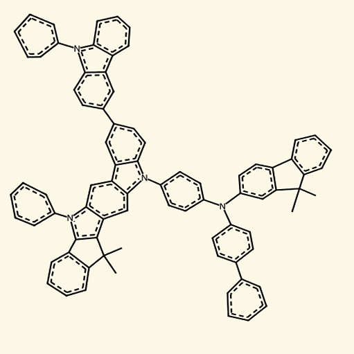 CC1(C)c2ccccc2-c2ccc(N(c3ccc(-c4ccccc4)cc3)c3ccc(-n4c5ccc(-c6ccc7c(c6)c6ccccc6n7-c6ccccc6)cc5c5cc6c(cc54)c4c(n6-c5ccccc5)-c5ccccc5C4(C)C)cc3)cc21